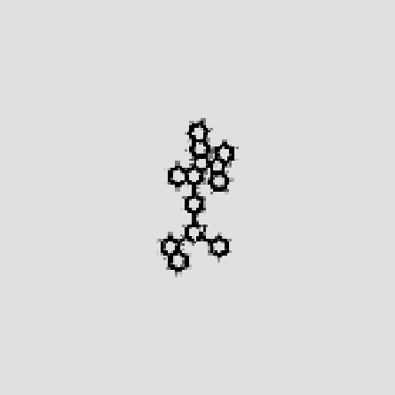 c1ccc(-c2nc(-c3ccc(-c4cc5c(c6ccccc46)-c4cc6ccccc6cc4C54c5ccccc5-c5ccccc54)cc3)cc(-c3cccc4ccccc34)n2)cc1